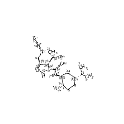 CC(C)[C@@H]1CC[C@H](C)[C@@H](NC(=O)[C@H]2NO[C@@H](CN=[N+]=[N-])[C@H]2[C@H](C)O)C1